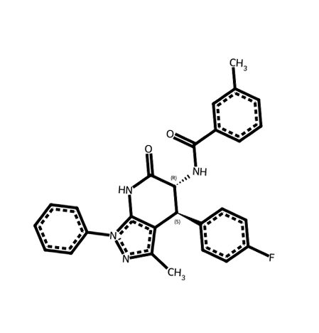 Cc1cccc(C(=O)N[C@H]2C(=O)Nc3c(c(C)nn3-c3ccccc3)[C@@H]2c2ccc(F)cc2)c1